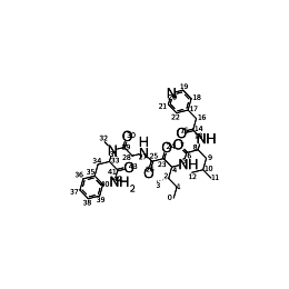 CC[C@H](C)C(NC(=O)C(CC(C)C)NC(=O)Cc1ccncc1)C(=O)C(=O)NCC(=O)N(C)C(Cc1ccccc1)C(N)=O